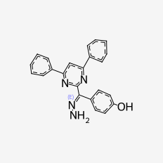 N/N=C(\c1ccc(O)cc1)c1nc(-c2ccccc2)cc(-c2ccccc2)n1